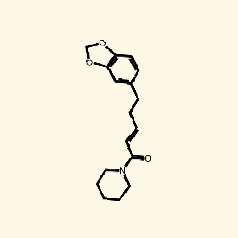 O=C(C=CCCc1ccc2c(c1)OCO2)N1CCCCC1